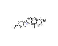 O=C(/C=C/c1ccc(C(F)(F)F)cc1)Nc1ccc(Cl)cc1C(=O)O